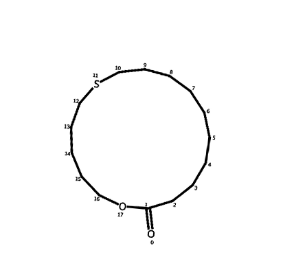 O=C1CCCCCCCCCSCCCCCO1